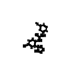 O=C(Nc1cccc(F)c1)Nc1ccc(Br)cc1-c1nnn[nH]1